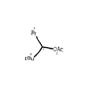 [CH2]C(C)(C)C(OC(C)=O)C(C)C